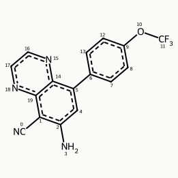 N#Cc1c(N)cc(-c2ccc(OC(F)(F)F)cc2)c2nccnc12